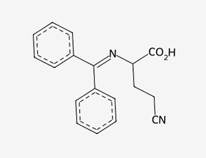 N#CCCC(N=C(c1ccccc1)c1ccccc1)C(=O)O